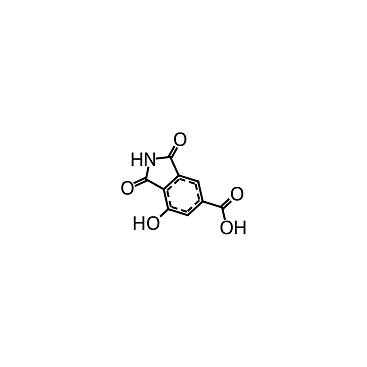 O=C(O)c1cc(O)c2c(c1)C(=O)NC2=O